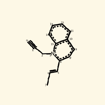 C#CC[n+]1c(C=CC)ccc2ccccc21